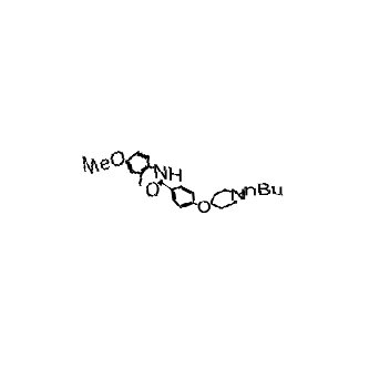 CCCCN1CCC(Oc2ccc(C(=O)Nc3ccc(OC)cc3C)cc2)CC1